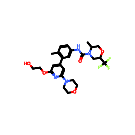 Cc1ccc(NC(=O)N2CC(C(F)(F)F)OCC2C)cc1-c1cc(OCCO)nc(N2CCOCC2)c1